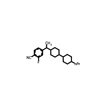 CCCC1CCC(C2CCC(C(C)c3ccc(C#N)c(F)c3)CC2)CC1